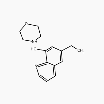 C1COCCN1.CCc1cc(O)c2ncccc2c1